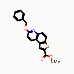 CNOC(=O)c1cc2c(ccc3nc(OCc4ccccc4)ccc32)s1